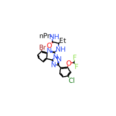 CCCNC(=O)C(CC)Nc1nc2c(Br)cccc2c2nc(-c3ccc(Cl)cc3OC(F)F)nn12